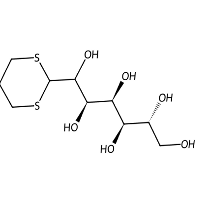 OC[C@@H](O)[C@@H](O)[C@H](O)[C@@H](O)C(O)C1SCCCS1